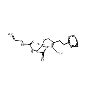 C=CCNC(=O)NC1C(=O)N2C(C(=O)O)=C(CSc3ncccn3)CS[C@H]12